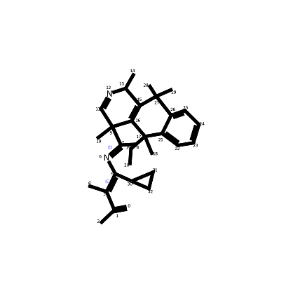 C=C(C)/C(C)=C(/N=C(\C)C1(C)C=NC(C)C2=C1C(C)(CC)c1ccccc1C2(C)C)C1CC1